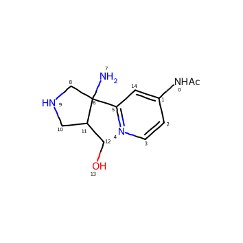 CC(=O)Nc1ccnc(C2(N)CNCC2CO)c1